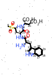 CS(=O)(=O)CC[C@H](NC(=O)[C@H](N)Cc1c[nH]c2ccccc12)C(=O)N[C@@H](CC(=O)O)C(=O)O